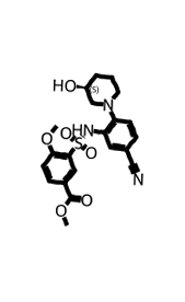 COC(=O)c1ccc(OC)c(S(=O)(=O)Nc2cc(C#N)ccc2N2CCC[C@H](O)C2)c1